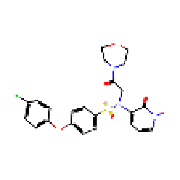 O=C(CN(c1cccn(O)c1=O)S(=O)(=O)c1ccc(Oc2ccc(Cl)cc2)cc1)N1CCOCC1